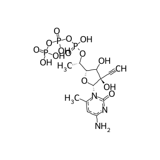 C#C[C@@]1(O)C(O)[C@@H]([C@H](C)OP(=O)(O)OP(=O)(O)OP(=O)(O)O)O[C@H]1n1c(C)cc(N)nc1=O